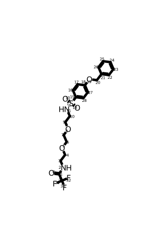 O=C(NCCOCCOCCNS(=O)(=O)c1ccc(OCc2ccccc2)cc1)C(F)(F)F